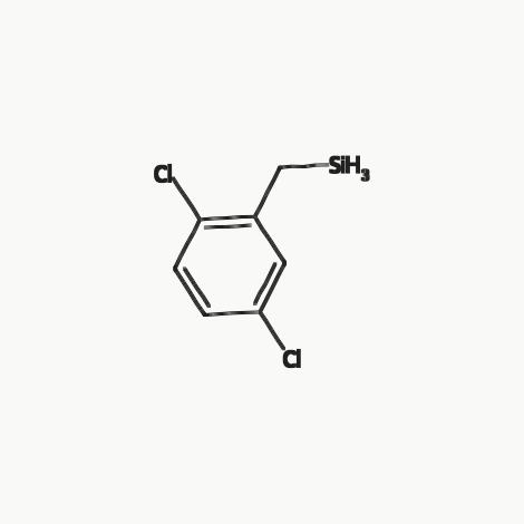 [SiH3]Cc1cc(Cl)ccc1Cl